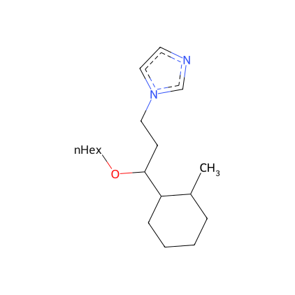 CCCCCCOC(CCn1ccnc1)C1CCCCC1C